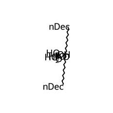 CCCCCCCCCCCCCCCCCCCCOCCCCCCCCCCCCCCCCCCCC.O.O=P(O)(O)O